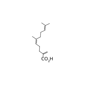 C=C(CCC=C(C)CCC=C(C)C)C(=O)O